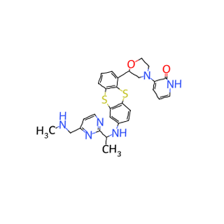 CNCc1ccnc(C(C)Nc2ccc3c(c2)Sc2cccc(C4CN(c5ccc[nH]c5=O)CCO4)c2S3)n1